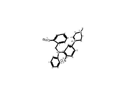 COc1ccccc1CN(c1ccccc1)c1cc(N2CCN(C)CC2)ccc1[N+](=O)[O-]